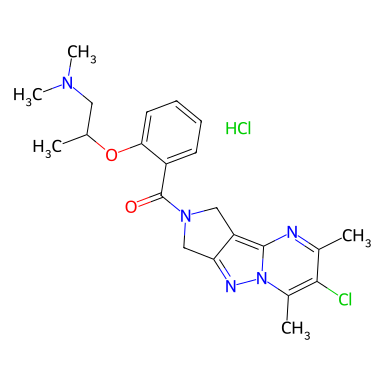 Cc1nc2c3c(nn2c(C)c1Cl)CN(C(=O)c1ccccc1OC(C)CN(C)C)C3.Cl